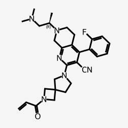 C=CC(=O)N1CC2(CCN(c3nc4c(c(-c5ccccc5F)c3C#N)CCN([C@H](C)CN(C)C)C4)C2)C1